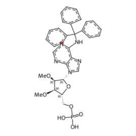 CO[C@@H]1[C@H](OC)[C@@H](COP(=O)(O)O)O[C@H]1n1cnc2c(NC(c3ccccc3)(c3ccccc3)c3ccccc3)ncnc21